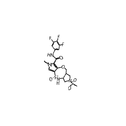 Cn1cc2c(c1C(=O)Nc1cc(F)c(F)c(F)c1)OCC1CN(S(C)(=O)=O)CC1N[S+]2[O-]